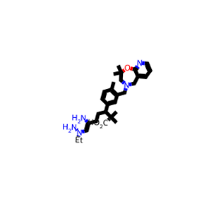 CCN(N)/C=C(\N)CCC(c1ccc(C)c(CN2Cc3cccnc3OC(C)(C)C2)c1)C(C)(C)C(=O)O